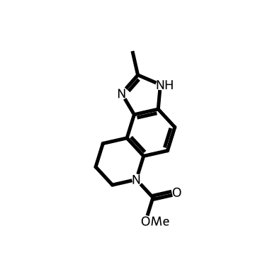 COC(=O)N1CCCc2c1ccc1[nH]c(C)nc21